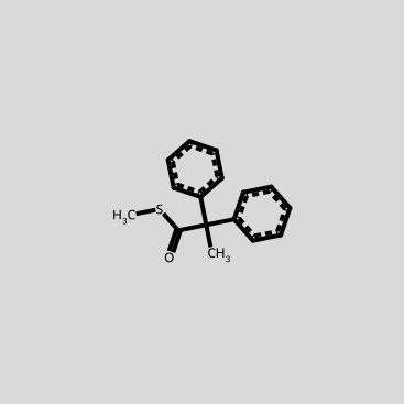 CSC(=O)C(C)(c1ccccc1)c1ccccc1